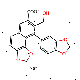 O=C([O-])c1cc2ccc3c(c2c(-c2ccc4c(c2)OCO4)c1CO)OCO3.[Na+]